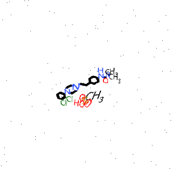 CN(C)C(=O)NC1CCC(CCN2CCN(c3cccc(Cl)c3Cl)CC2)CC1.CS(=O)(=O)O